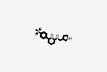 CS(=O)(=O)c1ccc(C2CCCC(NCC3CCNC3)N2)cc1